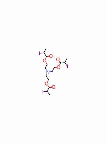 CC(I)C(=O)OCCN(CCOC(=O)C(C)I)CCOC(=O)C(C)I